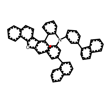 c1cc(-c2cccc3ccccc23)cc(N(c2cccc(-c3cccc4ccccc34)c2)c2ccccc2-c2cccc3oc4c5ccccc5ccc4c23)c1